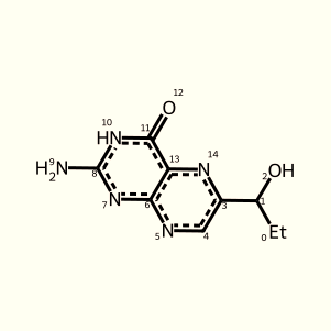 CCC(O)c1cnc2nc(N)[nH]c(=O)c2n1